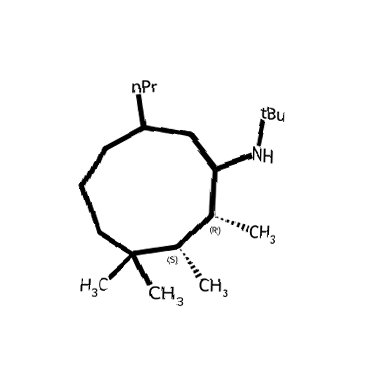 CCCC1CCCC(C)(C)[C@@H](C)[C@@H](C)C(NC(C)(C)C)C1